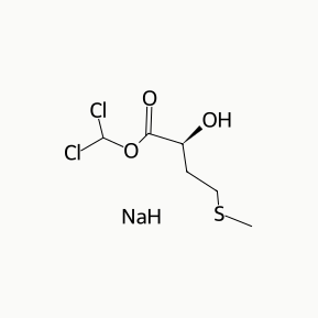 CSCC[C@H](O)C(=O)OC(Cl)Cl.[NaH]